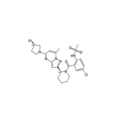 CC[C@@H]1CCN(c2cc(C)n3nc([C@@H]4CCCCN4C(=O)c4cc(Cl)ccc4NS(C)(=O)=O)cc3n2)C1